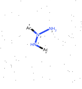 CC(=O)NN(N)C(C)=O